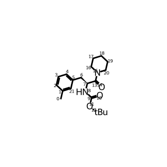 Cc1cccc(C[C@H](NC(=O)OC(C)(C)C)C(=O)N2CCCCC2)c1